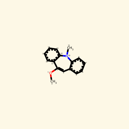 COC1=Cc2ccccc2N(C)c2ccccc21